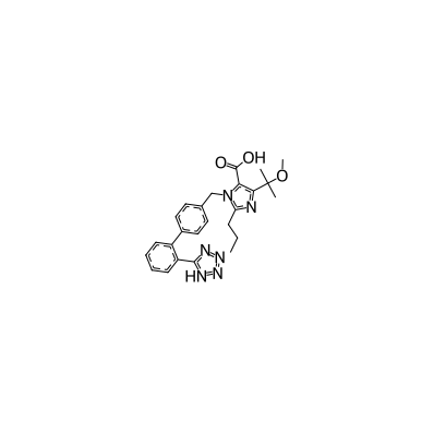 CCCc1nc(C(C)(C)OC)c(C(=O)O)n1Cc1ccc(-c2ccccc2-c2nnn[nH]2)cc1